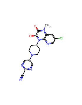 Cn1c(=O)c(=O)n(C2CCN(c3cnc(C#N)nc3)CC2)c2ncc(Cl)cc21